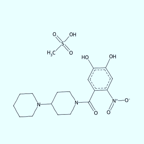 CS(=O)(=O)O.O=C(c1cc(O)c(O)cc1[N+](=O)[O-])N1CCC(N2CCCCC2)CC1